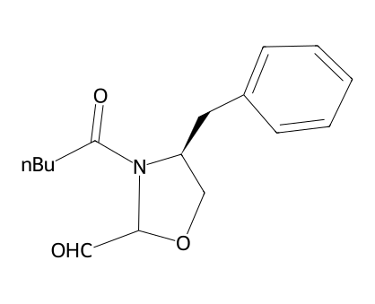 CCCCC(=O)N1C(C=O)OC[C@@H]1Cc1ccccc1